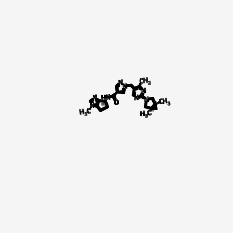 Cc1nc(N2C[C@@]3(C)C[C@@]3(C)C2)ncc1Cn1cc(C(=O)N[C@@H]2CCc3c2ncn3C)cn1